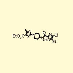 CCOC(=O)c1sc(N2CCC(N(C)C(=O)c3nc(Cl)c(CC)[nH]3)CC2)nc1C